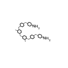 Cc1cc(Cc2ccc(Cc3ccc(Cc4ccc(N)cc4)cc3)c(C)c2)ccc1Cc1ccc(Cc2ccc(N)cc2)cc1